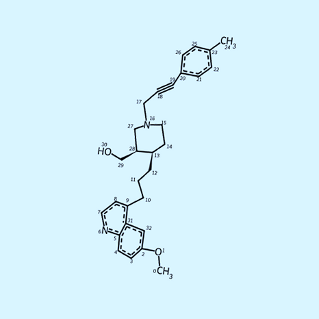 COc1ccc2nccc(CCC[C@@H]3CCN(CC#Cc4ccc(C)cc4)C[C@@H]3CO)c2c1